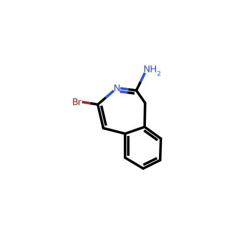 NC1=NC(Br)=Cc2ccccc2C1